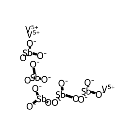 [O-][Sb]([O-])[O-].[O-][Sb]([O-])[O-].[O-][Sb]([O-])[O-].[O-][Sb]([O-])[O-].[O-][Sb]([O-])[O-].[V+5].[V+5].[V+5]